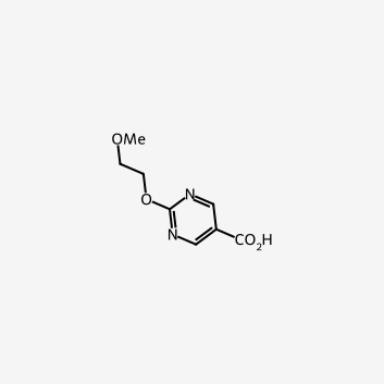 COCCOc1ncc(C(=O)O)cn1